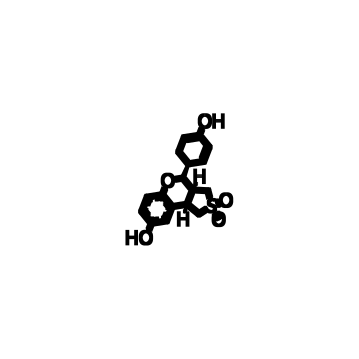 O=S1(=O)C[C@@H]2C([C@@H]3C=CC(O)=CC3)Oc3ccc(O)cc3[C@@H]2C1